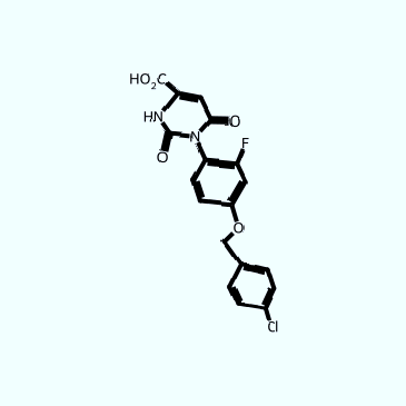 O=C(O)c1cc(=O)n(-c2ccc(OCc3ccc(Cl)cc3)cc2F)c(=O)[nH]1